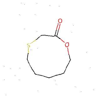 O=C1CSCCCCCO1